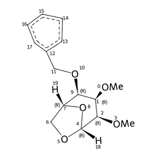 CO[C@H]1[C@@H](OC)[C@@H]2OC[C@@H](O2)[C@H]1OCc1ccccc1